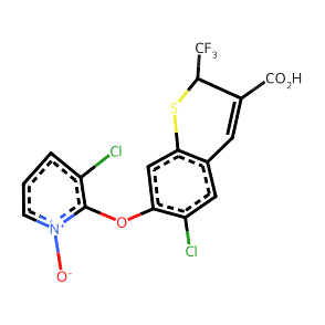 O=C(O)C1=Cc2cc(Cl)c(Oc3c(Cl)ccc[n+]3[O-])cc2SC1C(F)(F)F